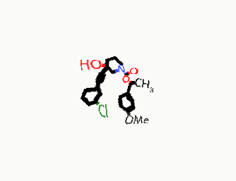 COc1ccc(C(C)OC(=O)N2CCCC(O)(C#Cc3cccc(Cl)c3)C2)cc1